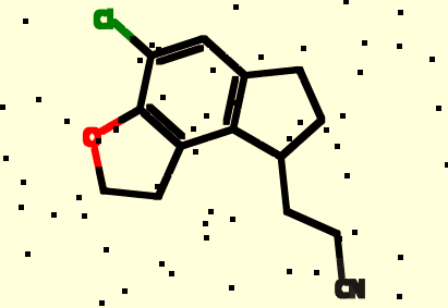 N#CCCC1CCc2cc(Cl)c3c(c21)CCO3